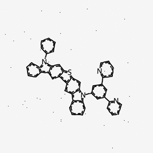 c1ccc(-n2c3ccccc3c3cc4c(cc32)sc2cc3c(cc24)c2ccccc2n3-c2cc(-c3ccccn3)cc(-c3ccccn3)c2)cc1